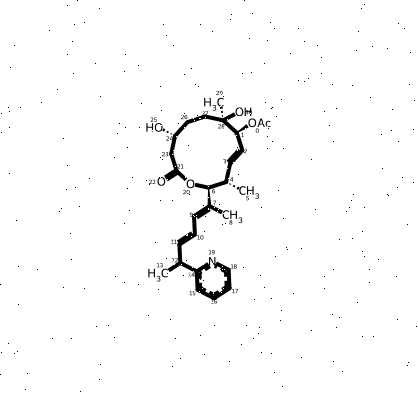 CC(=O)O[C@H]1/C=C/[C@H](C)[C@@H](/C(C)=C/C=C/C(C)c2ccccn2)OC(=O)C[C@H](O)CC[C@@]1(C)O